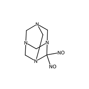 O=NC1(N=O)N2CN3CN(C2)CN1C3